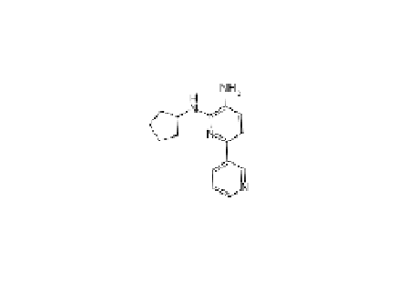 Nc1ccc(-c2cccnc2)nc1NC1CCCC1